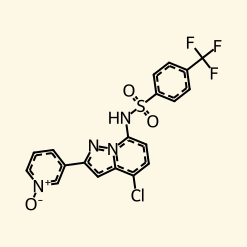 O=S(=O)(Nc1ccc(Cl)c2cc(-c3ccc[n+]([O-])c3)nn12)c1ccc(C(F)(F)F)cc1